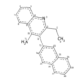 CCc1nc2ccccc2c(N)c1-c1ccc2ccccc2c1